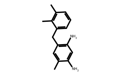 Cc1cc(Cc2cccc(C)c2C)c(N)cc1N